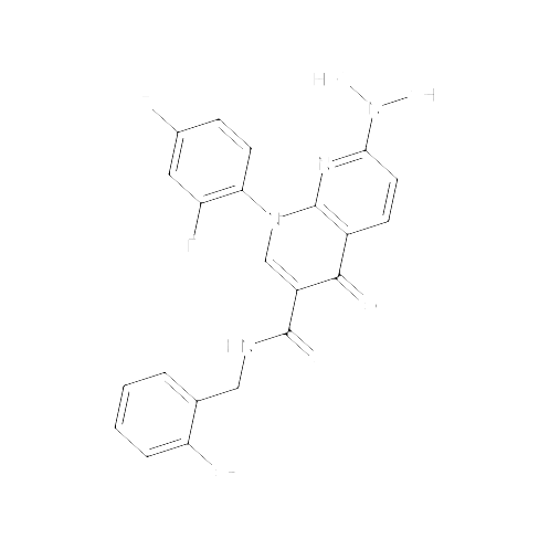 CN(C)c1ccc2c(=O)c(C(=O)NCc3ccccc3C(F)(F)F)cn(-c3ccc(F)cc3F)c2n1